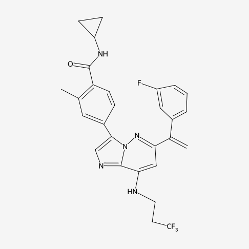 C=C(c1cccc(F)c1)c1cc(NCCC(F)(F)F)c2ncc(-c3ccc(C(=O)NC4CC4)c(C)c3)n2n1